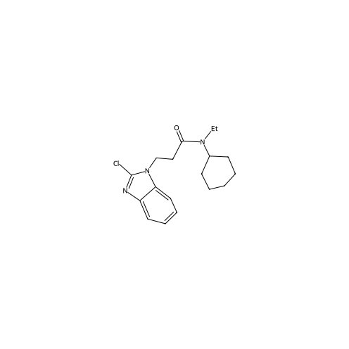 CCN(C(=O)CCn1c(Cl)nc2ccccc21)C1CCCCC1